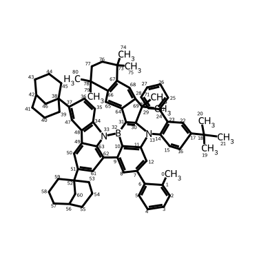 Cc1ccccc1-c1cc2c3c(c1)N(c1ccc(C(C)(C)C)cc1-c1ccccc1)C1=C(B3n3c4ccc(C56CCCC(CCC5)C6)cc4c4cc(C56CCCC(CCC5)C6)cc-2c43)c2cc3c(cc2C1(C)C)C(C)(C)CCC3(C)C